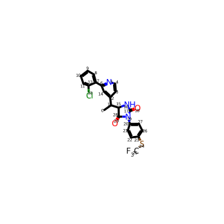 CC(c1ccnc(-c2ccccc2Cl)c1)C1NC(=O)N(c2ccc(SC(F)(F)F)cc2)C1=O